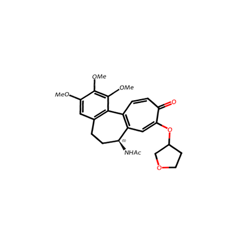 COc1cc2c(c(OC)c1OC)-c1ccc(=O)c(OC3CCOC3)cc1[C@@H](NC(C)=O)CC2